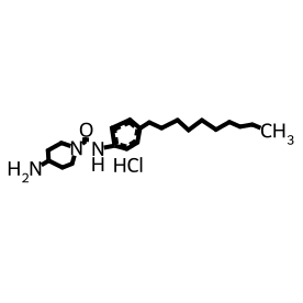 CCCCCCCCCCc1ccc(NC(=O)N2CCC(N)CC2)cc1.Cl